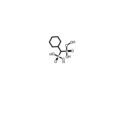 O=P(O)(O)C(C1CCCCC1)P(=O)(O)OO